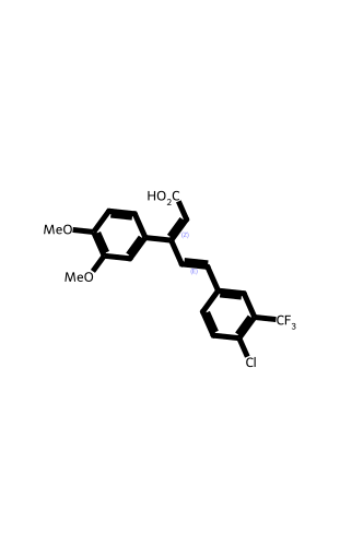 COc1ccc(C(=C\C(=O)O)/C=C/c2ccc(Cl)c(C(F)(F)F)c2)cc1OC